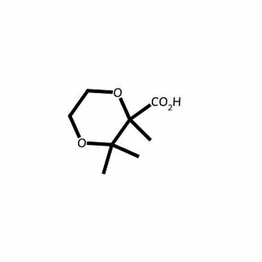 CC1(C)OCCOC1(C)C(=O)O